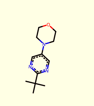 CC(C)(C)c1ncc(N2CCOCC2)cn1